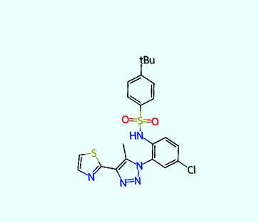 Cc1c(-c2nccs2)nnn1-c1cc(Cl)ccc1NS(=O)(=O)c1ccc(C(C)(C)C)cc1